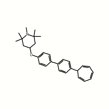 CN1C(C)(C)CC(Oc2ccc(-c3ccc(C4C=CC=CC=C4)cc3)cc2)CC1(C)C